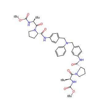 CC(C)(C)OC(=O)N[C@H](C(=O)N1CCC[C@H]1C(=O)Nc1ccc(CN(Cc2ccc(NC(=O)[C@@H]3CCCN3C(=O)[C@@H](NC(=O)OC(C)(C)C)C(C)(C)C)cc2)c2ccccc2)cc1)C(C)(C)C